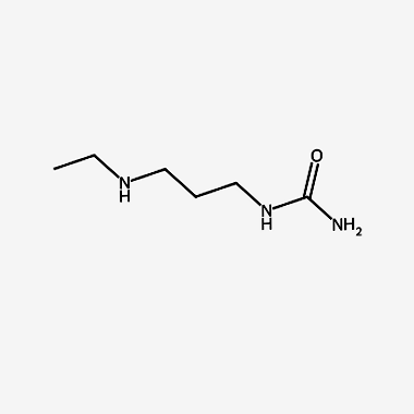 CCNCCCNC(N)=O